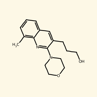 Cc1cccc2cc(CCCO)c(N3CCOCC3)nc12